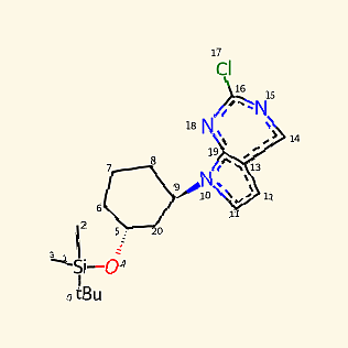 CC(C)(C)[Si](C)(C)O[C@@H]1CCC[C@@H](n2ccc3cnc(Cl)nc32)C1